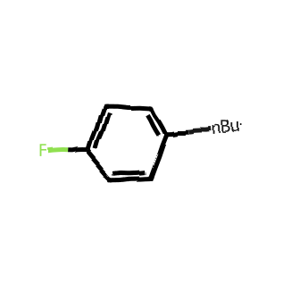 CCC[CH]c1ccc(F)cc1